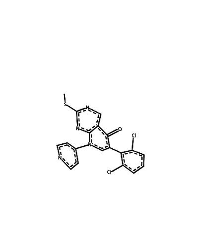 CSc1ncc2c(=O)c(-c3c(Cl)cccc3Cl)cn(-c3ccncc3)c2n1